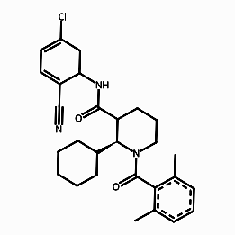 Cc1cccc(C)c1C(=O)N1CCCC(C(=O)NC2CC(Cl)=CC=C2C#N)[C@@H]1C1CCCCC1